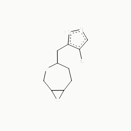 O=[N+]([O-])c1cn[nH]c1CC1CCC2OC2CO1